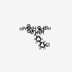 CCCS(=O)(=O)NC(=O)CC(Cc1ccc(-c2cccc(Cl)c2)cc1)NC(=O)OC(C)(C)C